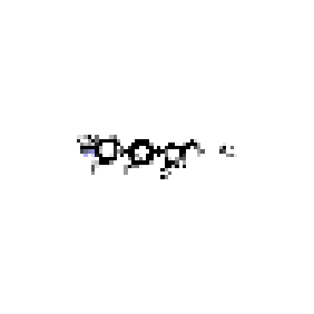 CC(=O)NCC1CN(c2ccc(N3CC/C(=C\C#N)C(F)C3)c(F)c2)C(=O)O1